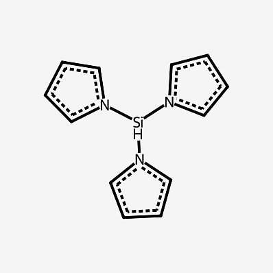 c1ccn([SiH](n2cccc2)n2cccc2)c1